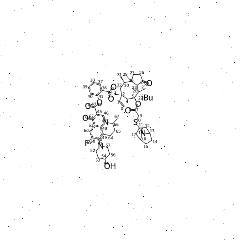 C=C[C@@]1(C)C[C@H](OC(=O)CSC2CC3CCC(C2)N3C)[C@@](C)(C(C)CC)C2C(=O)CCC2(C)[C@H](C)[C@H]1OC(=O)c1ccccc1OC(=O)c1cn2c3c(c(N4CCC(O)CC4)c(F)cc3c1=O)CCC2C